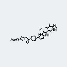 COC1CN(CC(=O)N2CCN(c3ccc4[nH]c(-c5cn6ncnc6c(C)c5C)c(C(C)C)c4n3)CC2)C1